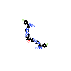 CC(C(=O)C(C)c1ccc(N2CCN(Cc3c[nH]nc3-c3ccc(F)cc3)CC2)nc1)c1ccc(N2CCN(Cc3c[nH]nc3-c3ccc(F)cc3)CC2)nc1